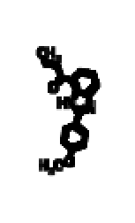 CC=CC(=O)c1cccc2nc(-c3ccc(OC)cc3)[nH]c12